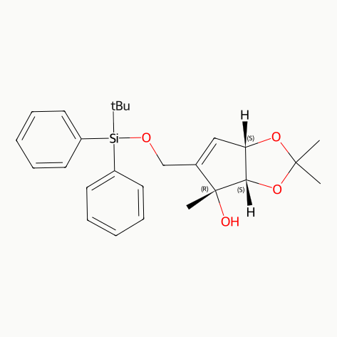 CC1(C)O[C@H]2C=C(CO[Si](c3ccccc3)(c3ccccc3)C(C)(C)C)[C@@](C)(O)[C@H]2O1